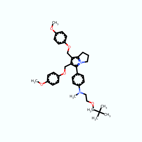 COc1ccc(OCc2c(COc3ccc(OC)cc3)c(-c3ccc(N(C)CCO[SiH2]C(C)(C)C)cc3)n3c2CCC3)cc1